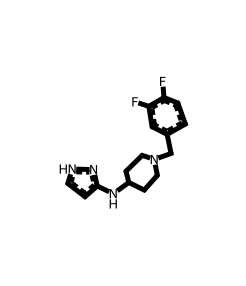 Fc1ccc(CN2CCC(Nc3cc[nH]n3)CC2)cc1F